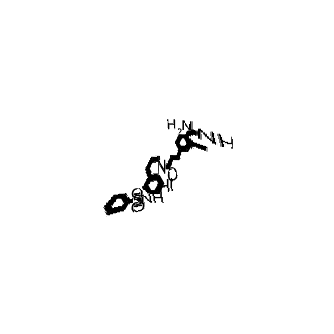 Cc1cc(CCC(=O)N2CCCc3cc(NS(=O)(=O)c4ccccc4)ccc32)ccc1C(=N)N.I